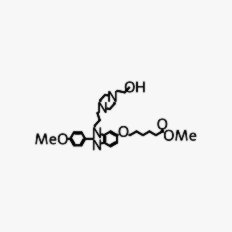 COC(=O)CCCCCOc1ccc2nc(-c3ccc(OC)cc3)n(CCCN3CCN(CCO)CC3)c2c1